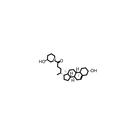 CC(CCC(=O)N1CCC[C@H](O)C1)[C@H]1CC[C@H]2[C@@H]3CC=C4C[C@@H](O)CC[C@]4(C)[C@H]3CC[C@]12C